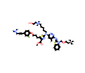 COC(=O)c1nc(N(CCCCC[N+](C)(C)CCO)c2cc(C)c(/N=c3\sc4ccccc4n3COCC[Si](C)(C)C)nn2)sc1CCCOc1ccc(C#CCN(C)C)cc1F